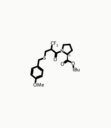 COc1ccc(CSCC(C(=O)N2CCC[C@H]2C(=O)OC(C)(C)C)C(F)(F)F)cc1